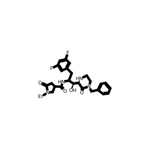 CCN1CC(C(=O)NC(Cc2cc(F)cc(F)c2)[C@H](O)[C@@H]2NCCN(Cc3ccccc3)C2=O)CC1=O